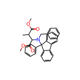 COC(=O)C(C)C(C(=O)OC)N(Cc1ccccc1)C1(c2ccccc2)c2ccccc2-c2ccccc21